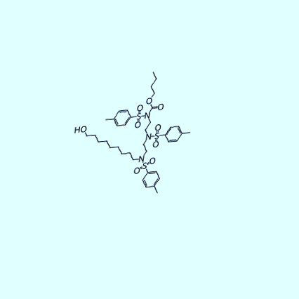 CCCCOC(=O)N(CCN(CCN(CCCCCCCCCO)S(=O)(=O)c1ccc(C)cc1)S(=O)(=O)c1ccc(C)cc1)S(=O)(=O)c1ccc(C)cc1